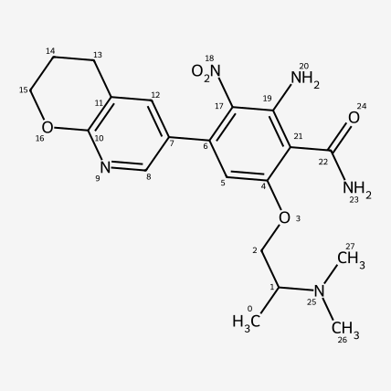 CC(COc1cc(-c2cnc3c(c2)CCCO3)c([N+](=O)[O-])c(N)c1C(N)=O)N(C)C